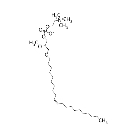 CCCCCCCCCC/C=C\CCCCCCCCCOC[C@H](COP(=O)([O-])OCC[N+](C)(C)C)OC